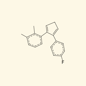 Cc1cccc(C2=CCC=C2c2ccc(F)cc2)c1C